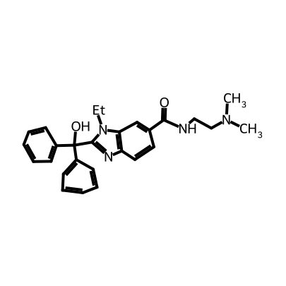 CCn1c(C(O)(c2ccccc2)c2ccccc2)nc2ccc(C(=O)NCCN(C)C)cc21